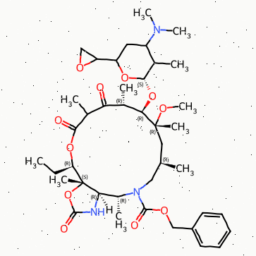 CC[C@H]1OC(=O)C(C)C(=O)[C@H](C)[C@@H](O[C@@H]2OC(C3CO3)CC(N(C)C)C2C)[C@](C)(OC)C[C@@H](C)CN(C(=O)OCc2ccccc2)[C@H](C)[C@H]2NC(=O)O[C@@]21C